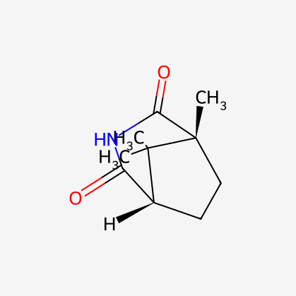 CC1(C)[C@@H]2CC[C@@]1(C)C(=O)NC2=O